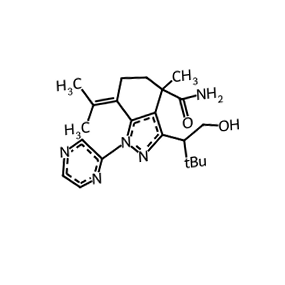 CC(C)=C1CCC(C)(C(N)=O)c2c(C(CO)C(C)(C)C)nn(-c3cnccn3)c21